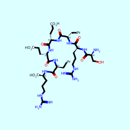 CC(C)C[C@H](NC(=O)[C@H](CCC(=O)O)NC(=O)[C@H](CCC(=O)O)NC(=O)[C@H](CC(C)C)NC(=O)[C@H](CCCNC(=N)N)NC(=O)[C@@H](N)CO)C(=O)N[C@@H](CCCNC(=N)N)C(=O)O